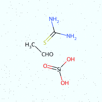 CC=O.NC(N)=S.O=[Si](O)O